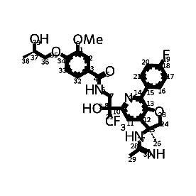 COc1cc(C(=O)NCC(O)(c2cc3c(c(-c4ccc(F)cc4)n2)OC[C@@]3(C)NC(C)=N)C(F)(F)F)ccc1OC[C@@H](C)O